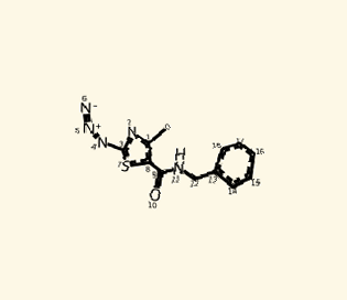 Cc1nc(N=[N+]=[N-])sc1C(=O)NCc1ccccc1